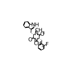 CN1C(=O)[C@H](Cc2c[nH]c3ccccc23)N(C)C(=O)[C@@H]1Cc1ccccc1F